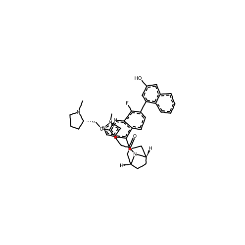 CN1CCC[C@H]1COc1nc(N2C[C@H]3CC[C@@H](C2)N3C(=O)Cc2cnn(C)c2)c2ccc(-c3cc(O)cc4ccccc34)c(F)c2n1